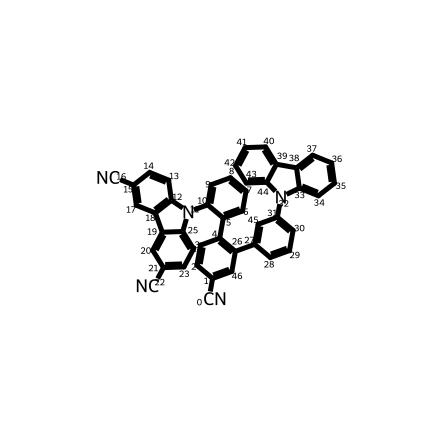 N#Cc1ccc(-c2ccccc2-n2c3ccc(C#N)cc3c3cc(C#N)ccc32)c(-c2cccc(-n3c4ccccc4c4ccccc43)c2)c1